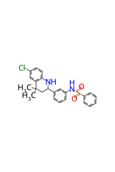 CC1(C)CC(c2cccc(NS(=O)(=O)c3ccccc3)c2)Nc2ccc(Cl)cc21